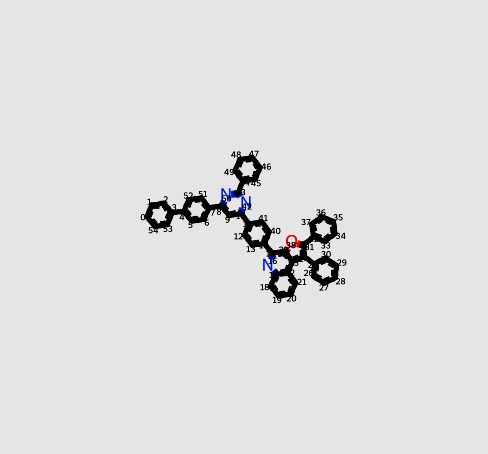 c1ccc(-c2ccc(-c3cc(-c4ccc(-c5nc6ccccc6c6c(-c7ccccc7)c(-c7ccccc7)oc56)cc4)nc(-c4ccccc4)n3)cc2)cc1